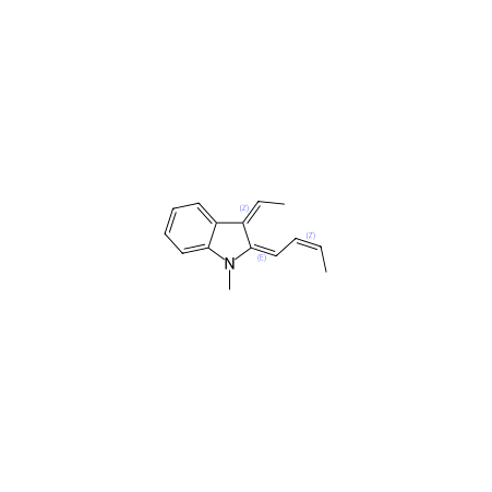 C\C=C/C=c1\c(=C/C)c2ccccc2n1C